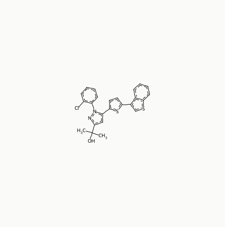 CC(C)(O)c1cc(-c2ccc(-c3csc4ccccc34)s2)n(-c2ccccc2Cl)n1